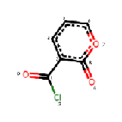 O=C(Cl)c1cccoc1=O